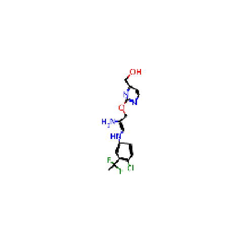 CC(F)(F)c1cc(N/C=C(\N)COc2nccc(CO)n2)ccc1Cl